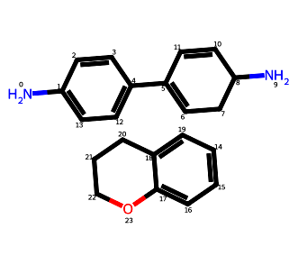 Nc1ccc(C2=CCC(N)C=C2)cc1.c1ccc2c(c1)CCCO2